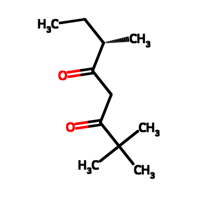 CC[C@H](C)C(=O)CC(=O)C(C)(C)C